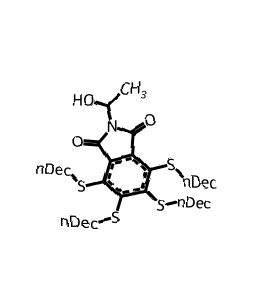 CCCCCCCCCCSc1c(SCCCCCCCCCC)c(SCCCCCCCCCC)c2c(c1SCCCCCCCCCC)C(=O)N(C(C)O)C2=O